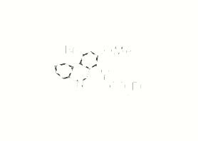 CCOC(=O)COc1c(/C=N\c2ccccc2)cc(Br)cc1OC